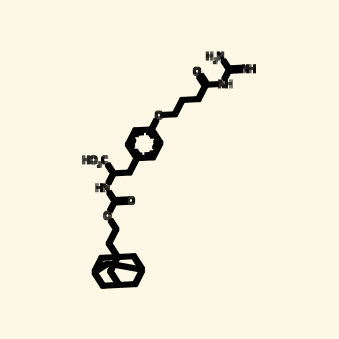 N=C(N)NC(=O)CCCOc1ccc(CC(NC(=O)OCCC23CC4CC(CC(C4)C2)C3)C(=O)O)cc1